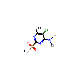 CCN(CC)c1nc(S(C)(=O)=O)nc(C(=O)O)c1Br